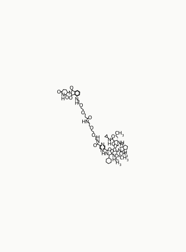 CCC[C@H](NC(=O)[C@@H]1[C@H]2CCC[C@H]2CN1C(=O)[C@@H](NC(=O)[C@@H](NC(=O)c1cnc(C(=O)NCCOCCOCCNC(=O)CCOCCOCCNc2cccc3c2C(=O)N(C2CCC(=O)NC2=O)C3=O)cn1)C1CCCCC1)C(C)(C)C)C(=O)C(=O)NC1CC1